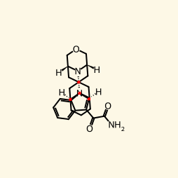 NC(=O)C(=O)c1cn([C@H]2C[C@H]3COC[C@@H](C2)N3[C@H]2C[C@@H]3CCC[C@@H](C3)C2)c2ccccc12